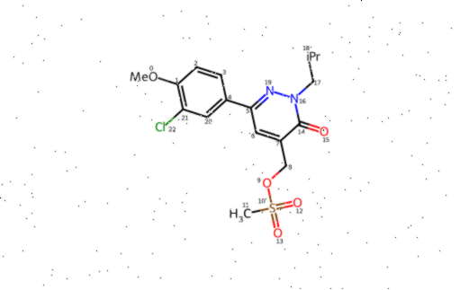 COc1ccc(-c2cc(COS(C)(=O)=O)c(=O)n(CC(C)C)n2)cc1Cl